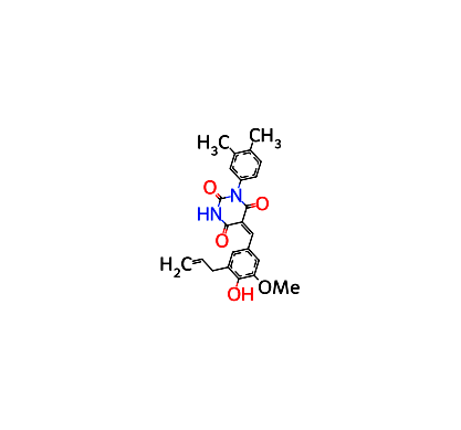 C=CCc1cc(/C=C2\C(=O)NC(=O)N(c3ccc(C)c(C)c3)C2=O)cc(OC)c1O